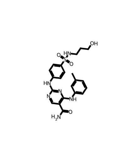 Cc1cccc(Nc2nc(Nc3ccc(S(=O)(=O)NCCCO)cc3)ncc2C(N)=O)c1